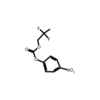 CC(F)(F)COC(=O)Oc1ccc([N+](=O)[O-])cc1